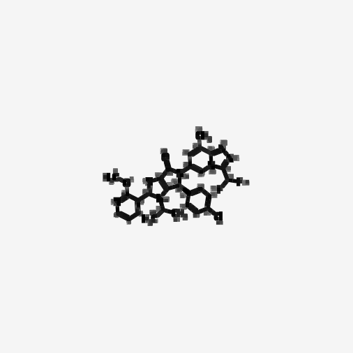 COc1ncccc1-c1nc2c(n1C(C)C)[C@H](c1ccc(Cl)cc1)N(c1cc(C)c3nnc(C(F)F)n3c1)C2=O